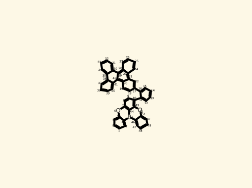 c1ccc2c(c1)Oc1ccc(-c3ccccc3-c3ccc4c(c3)c3ccccc3c3c5ccccc5c5ccccc5c43)c3c1B2c1ccccc1O3